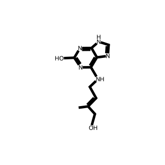 C/C(=C\CNc1nc(O)nc2[nH]cnc12)CO